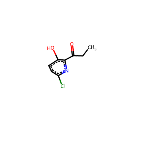 CCC(=O)c1nc(Cl)ccc1O